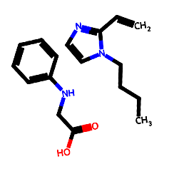 C=Cc1nccn1CCCC.O=C(O)CNc1ccccc1